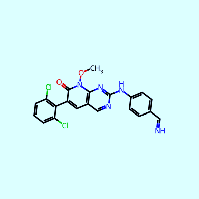 COn1c(=O)c(-c2c(Cl)cccc2Cl)cc2cnc(Nc3ccc(C=N)cc3)nc21